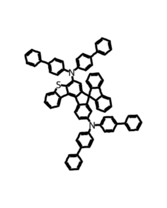 c1ccc(-c2ccc(N(c3ccc(-c4ccccc4)cc3)c3ccc4c(c3)C3(c5ccccc5-c5ccccc53)c3cc(N(c5ccc(-c6ccccc6)cc5)c5ccc(-c6ccccc6)cc5)c5sc6ccccc6c5c3-4)cc2)cc1